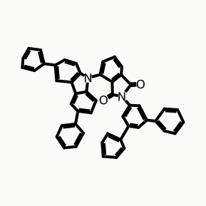 O=C1c2cccc(-n3c4ccc(-c5ccccc5)cc4c4cc(-c5ccccc5)ccc43)c2C(=O)N1c1cc(-c2ccccc2)cc(-c2ccccc2)c1